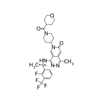 Cc1nnc(N[C@H](C)c2cccc(C(F)(F)F)c2F)c2cn(C3CCN(C(=O)C4CCOCC4)CC3)c(=O)cc12